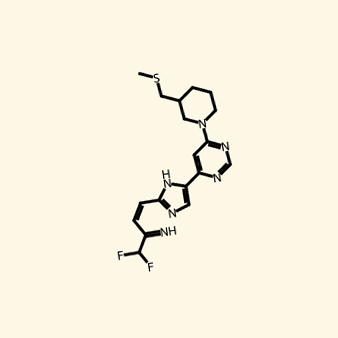 CSCC1CCCN(c2cc(-c3cnc(/C=C\C(=N)C(F)F)[nH]3)ncn2)C1